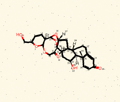 CCC12CCC(CO)OC1OCC(=O)[C@@]13OC2O[C@@H]1C[C@H]1[C@@H]2CCC4=CC(=O)C=C[C@]4(C)[C@H]2[C@@H](O)C[C@@]13C